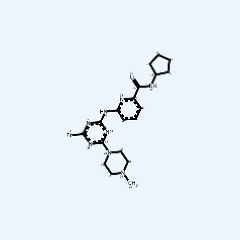 CCc1nc(Nc2cccc(C(=O)NC3CCCC3)n2)nc(N2CCN(C)CC2)n1